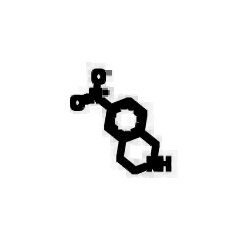 O=[N+]([O-])c1ccc2c(c1)CCNC2